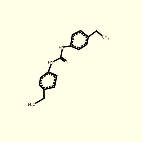 CCc1ccc(NC(=S)Nc2ccc(CC)cc2)cc1